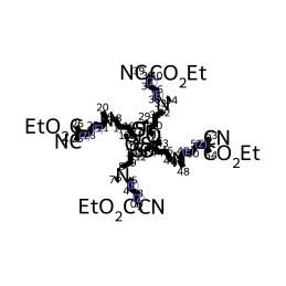 CCOC(=O)/C(C#N)=C\C=C\N(C)CCC[Si]1(C)O[Si](C)(CCCN(C)/C=C/C=C(/C#N)C(=O)OCC)O[Si](C)(CCCN(C)/C=C/C=C(/C#N)C(=O)OCC)O[Si](C)(CCCN(C)/C=C/C=C(/C#N)C(=O)OCC)O1